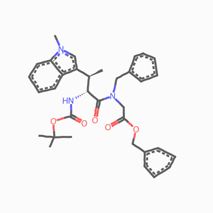 C[C@H](c1cn(C)c2ccccc12)[C@@H](NC(=O)OC(C)(C)C)C(=O)N(CC(=O)OCc1ccccc1)Cc1ccccc1